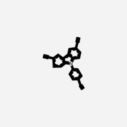 C#Cc1ccc(-n2c3ccc(C#C)cc3c3cc(C#C)ccc32)cc1